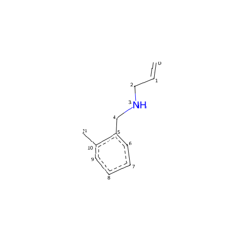 C=CCNCc1ccccc1C